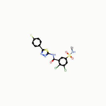 CCNS(=O)(=O)c1cc(Cl)c(Cl)c(C(=O)Nc2nnc(-c3ccc(F)cc3)s2)c1